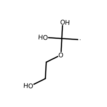 [CH2]C(O)(O)OCCO